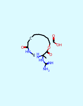 CC1(NC(=N)N)NCNC(=O)CCCCCCCOC1=O.O=CO